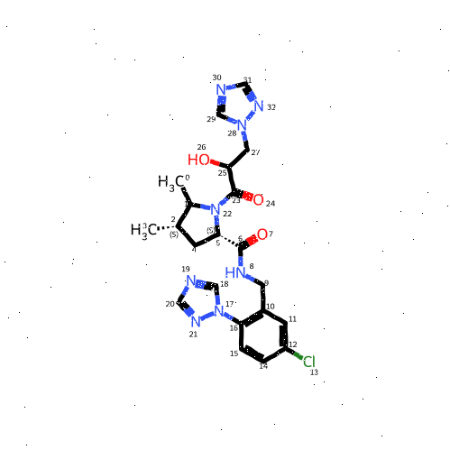 CC1[C@@H](C)C[C@@H](C(=O)NCc2cc(Cl)ccc2-n2cncn2)N1C(=O)C(O)Cn1cncn1